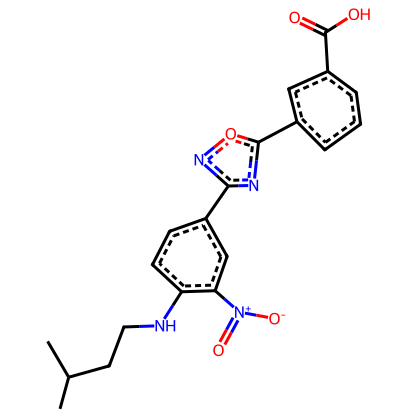 CC(C)CCNc1ccc(-c2noc(-c3cccc(C(=O)O)c3)n2)cc1[N+](=O)[O-]